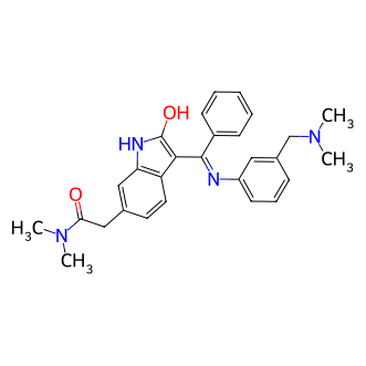 CN(C)Cc1cccc(N=C(c2ccccc2)c2c(O)[nH]c3cc(CC(=O)N(C)C)ccc23)c1